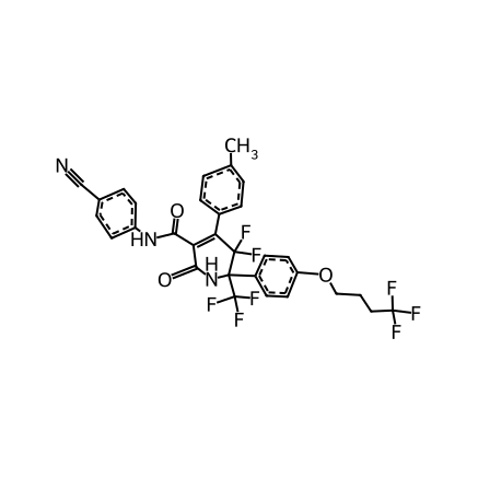 Cc1ccc(C2=C(C(=O)Nc3ccc(C#N)cc3)C(=O)NC(c3ccc(OCCCC(F)(F)F)cc3)(C(F)(F)F)C2(F)F)cc1